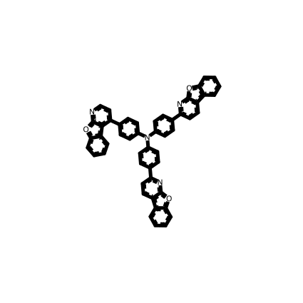 c1ccc2c(c1)oc1nc(-c3ccc(N(c4ccc(-c5ccc6c(n5)oc5ccccc56)cc4)c4ccc(-c5ccnc6oc7ccccc7c56)cc4)cc3)ccc12